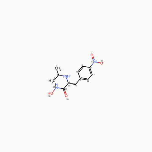 CC(C)N[C@@H](Cc1ccc([N+](=O)[O-])cc1)C(=O)NO